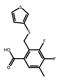 Cc1cc(C(=O)O)c(CSc2ccsc2)c(F)c1F